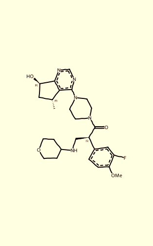 COc1ccc([C@@H](CNC2CCOCC2)C(=O)N2CCN(c3ncnc4c3[C@H](C)C[C@H]4O)CC2)cc1F